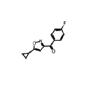 O=C(c1ccc(F)cc1)c1cc(C2CC2)on1